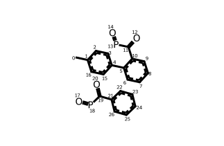 Cc1ccc(-c2ccccc2C(=O)P=O)cc1.O=PC(=O)c1ccccc1